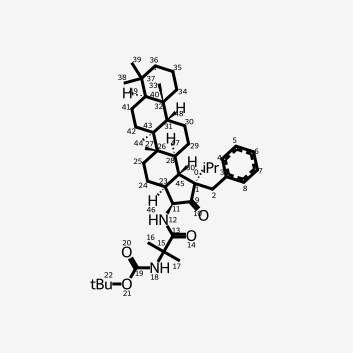 CC(C)[C@]1(Cc2ccccc2)C(=O)[C@@H](NC(=O)C(C)(C)NC(=O)OC(C)(C)C)[C@H]2CC[C@@]3(C)[C@@H](CC[C@H]4[C@@]5(C)CC[CH]C(C)(C)[C@@H]5CC[C@@]43C)[C@@H]21